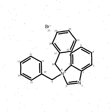 C1=Nc2ccccc2[N+]1(Cc1ccccc1)Cc1ccccc1.[Br-]